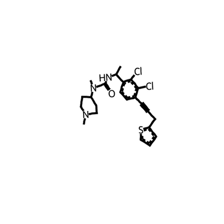 CC(NC(=O)N(C)C1CCN(C)CC1)c1ccc(C#CCc2cccs2)c(Cl)c1Cl